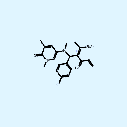 C=CC(=N)/C(=C(/C)NC)C(c1ccc(Cl)cc1)N(C)c1cc(C)c(=O)n(C)c1